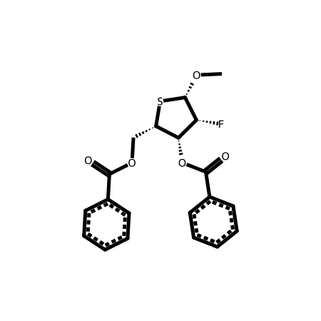 CO[C@H]1S[C@@H](COC(=O)c2ccccc2)[C@@H](OC(=O)c2ccccc2)[C@H]1F